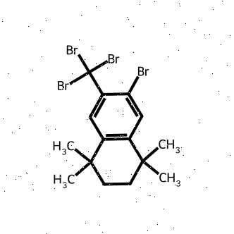 CC1(C)CCC(C)(C)c2cc(C(Br)(Br)Br)c(Br)cc21